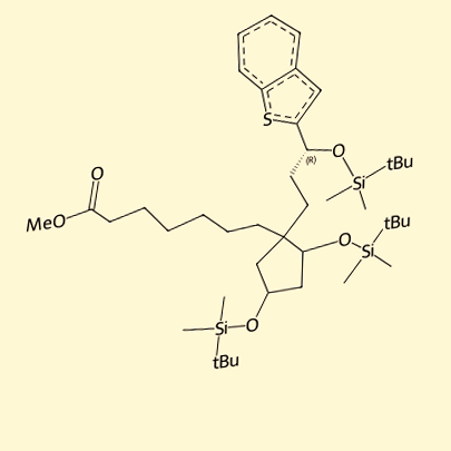 COC(=O)CCCCCCC1(CC[C@@H](O[Si](C)(C)C(C)(C)C)c2cc3ccccc3s2)CC(O[Si](C)(C)C(C)(C)C)CC1O[Si](C)(C)C(C)(C)C